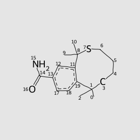 CC1(C)CCCCSC(C)(C)c2cc(C(N)=O)ccc21